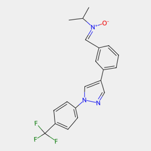 CC(C)[N+]([O-])=Cc1cccc(-c2cnn(-c3ccc(C(F)(F)F)cc3)c2)c1